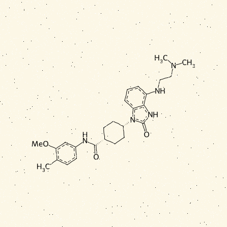 COc1cc(NC(=O)[C@H]2CC[C@@H](n3c(=O)[nH]c4c(NCCN(C)C)cccc43)CC2)ccc1C